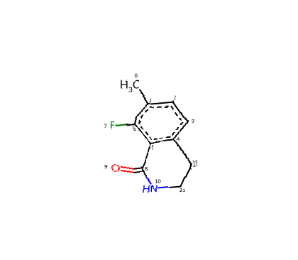 Cc1ccc2c(c1F)C(=O)NCC2